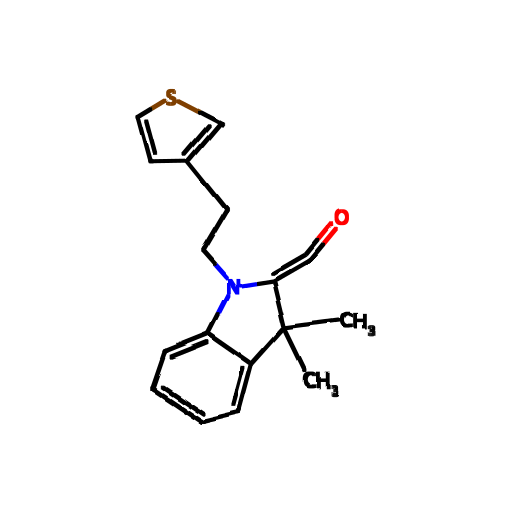 CC1(C)C(=C=O)N(CCc2ccsc2)c2ccccc21